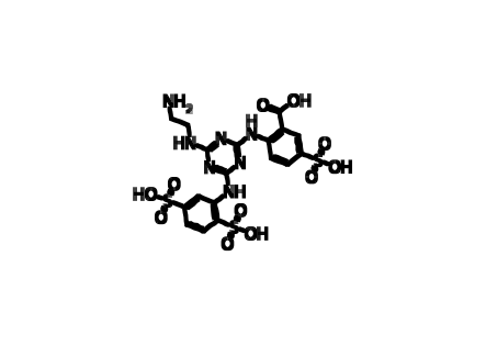 NCCNc1nc(Nc2ccc(S(=O)(=O)O)cc2C(=O)O)nc(Nc2cc(S(=O)(=O)O)ccc2S(=O)(=O)O)n1